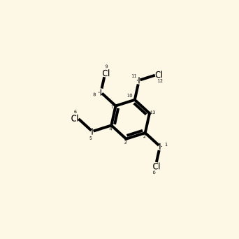 Cl[I]c1cc([I]Cl)c([I]Cl)c([I]Cl)c1